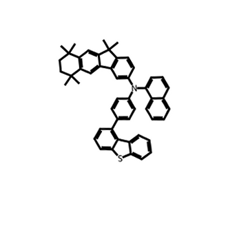 CC1(C)CCC(C)(C)c2cc3c(cc21)-c1cc(N(c2ccc(-c4cccc5sc6ccccc6c45)cc2)c2cccc4ccccc24)ccc1C3(C)C